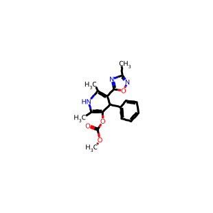 COC(=O)OC1=C(C)NC(C)=C(c2nc(C)no2)C1c1ccccc1